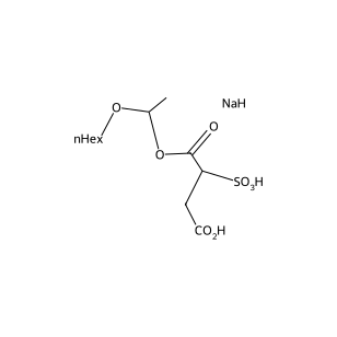 CCCCCCOC(C)OC(=O)C(CC(=O)O)S(=O)(=O)O.[NaH]